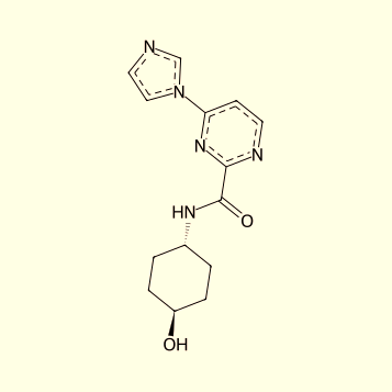 O=C(N[C@H]1CC[C@H](O)CC1)c1nccc(-n2ccnc2)n1